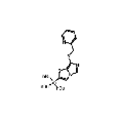 CCC[CH2][Sn]([CH2]CCC)([CH2]CCC)[c]1cn2cnc(SCc3ccccn3)c2s1